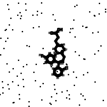 O=C(O)CCC1=NN=C2CN=C(c3ccccc3Cl)c3ccc(F)cc3N2C1